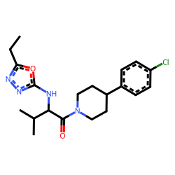 CCc1nnc(NC(C(=O)N2CCC(c3ccc(Cl)cc3)CC2)C(C)C)o1